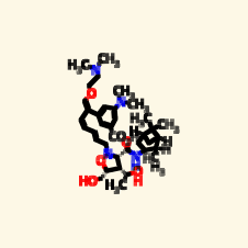 C[C@@H]1[C@@H](NC(=O)[C@@H]2[C@H]([C@H](C)O)[C@H](CO)ON2C/C=C/C=C\C(=C\OCCN(C)C)c2cc(C(=O)O)cc(N(C)C)c2)C[C@H]2C[C@@H]1C2(C)C